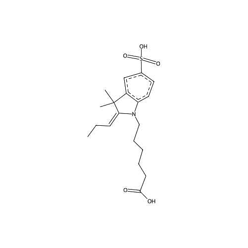 CC/C=C1/N(CCCCCC(=O)O)c2ccc(S(=O)(=O)O)cc2C1(C)C